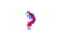 N#Cc1ccc(N2CCc3c(ncnc3Nc3ccc(C(=O)NCCC(=O)N4CCC(CN5CCN(c6cc7c(cc6F)C(=O)N(C6CCC(=O)NC6=O)C7=O)CC5)CC4)c(F)n3)C2)cc1Cl